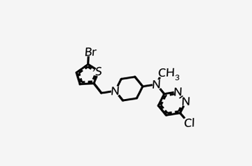 CN(c1ccc(Cl)nn1)C1CCN(Cc2ccc(Br)s2)CC1